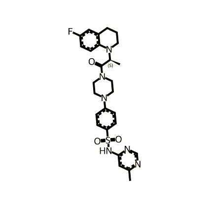 Cc1cc(NS(=O)(=O)c2ccc(N3CCN(C(=O)[C@H](C)N4CCCc5cc(F)ccc54)CC3)cc2)ncn1